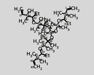 C=C[Si](C)(C)C(CC)O[Si](C)(C)O[Si](C)(OC(C)(CC)[Si](C)(C)OC(CC)[Si](C)(C)C=C)OC(C)(CC)[Si](C)(C)OC(CC)[Si](C)(C)C=C